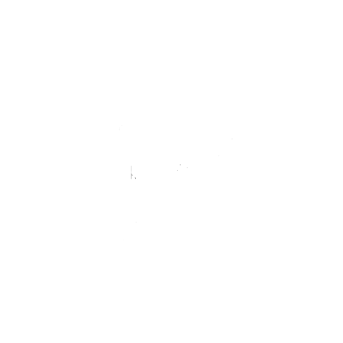 Cc1cccc2[nH][c]([Zr+2][C]3=C4CCC4c4ccccc43)c(C)c12.[Cl-].[Cl-]